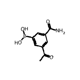 CC(=O)c1cc(B(O)O)cc(C(N)=O)c1